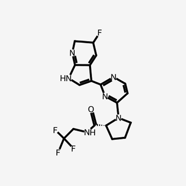 O=C(NCC(F)(F)F)[C@H]1CCCN1c1ccnc(-c2c[nH]c3c2=CC(F)CN=3)n1